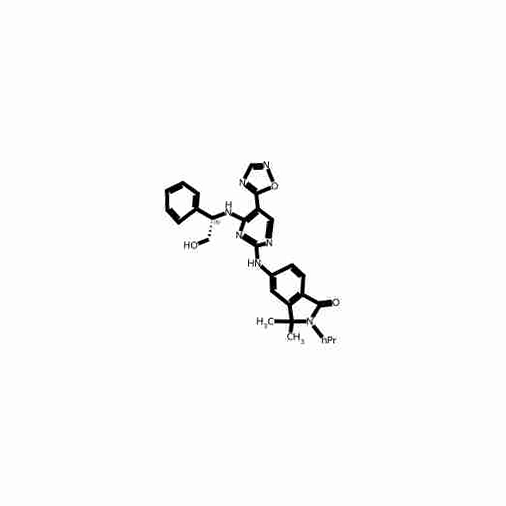 CCCN1C(=O)c2ccc(Nc3ncc(-c4ncno4)c(N[C@H](CO)c4ccccc4)n3)cc2C1(C)C